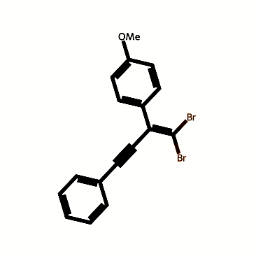 COc1ccc(C(C#Cc2ccccc2)=C(Br)Br)cc1